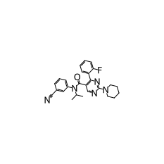 CC(C)N(C(=O)c1cnc(N2CCCCC2)nc1-c1ccccc1F)c1cccc(C#N)c1